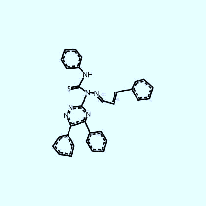 S=C(Nc1ccccc1)N(/N=C/C=C/c1ccccc1)c1nnc(-c2ccccc2)c(-c2ccccc2)n1